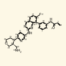 C=CC(=O)Nc1cccc(-c2c(F)ccc3cnc(Nc4ccc(N5CCOC[C@@H]5CN)nc4)nc23)c1